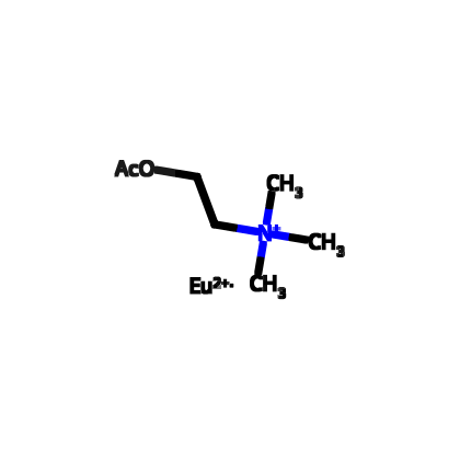 CC(=O)OCC[N+](C)(C)C.[Eu+2]